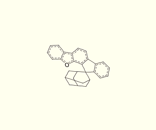 c1ccc2c(c1)-c1ccc3c(oc4ccccc43)c1C21C2CC3CC(C2)CC1C3